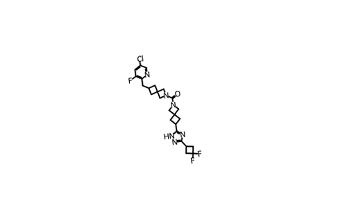 O=C(N1CC2(CC(Cc3ncc(Cl)cc3F)C2)C1)N1CC2(CC(c3nc(C4CC(F)(F)C4)n[nH]3)C2)C1